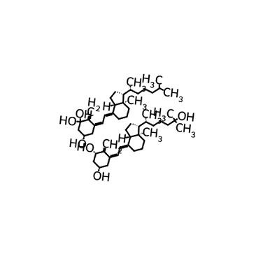 C=C1/C(=C\C=C2/CCC[C@]3(C)[C@@H]([C@H](C)CCCC(C)(C)O)CC[C@@H]23)C[C@@H](O)C[C@@H]1O.C=C1/C(=C\C=C2/CCC[C@]3(C)[C@@H]([C@H](C)CCCC(C)C)CC[C@@H]23)C[C@@H](O)CC1(O)O